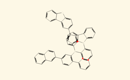 c1ccc(-c2ccc(-c3ccc4ccccc4c3)cc2N(c2ccc(-c3ccc4oc5ccccc5c4c3)cc2)c2ccccc2-n2c3ccccc3c3ccccc32)cc1